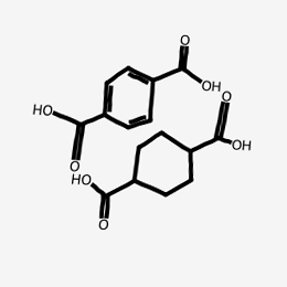 O=C(O)C1CCC(C(=O)O)CC1.O=C(O)c1ccc(C(=O)O)cc1